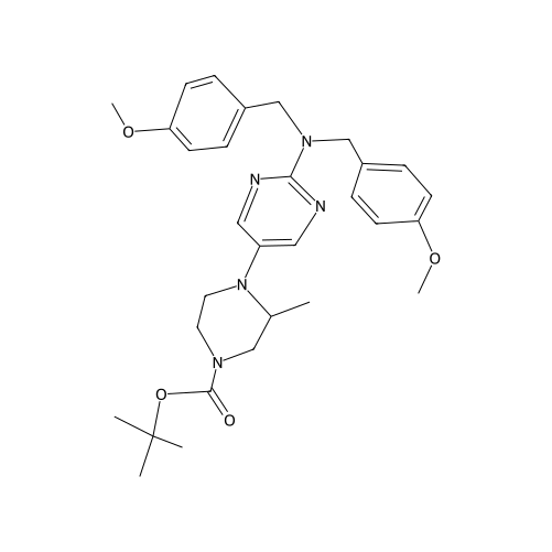 COc1ccc(CN(Cc2ccc(OC)cc2)c2ncc(N3CCN(C(=O)OC(C)(C)C)CC3C)cn2)cc1